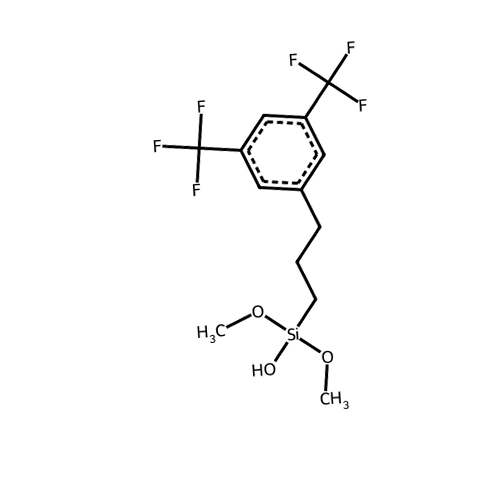 CO[Si](O)(CCCc1cc(C(F)(F)F)cc(C(F)(F)F)c1)OC